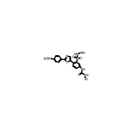 CC(=O)Nc1ccc(-c2ncc(-c3ccc(NC(=S)NC(C)C)cc3S(=O)(=O)NC(C)(C)C)s2)cc1